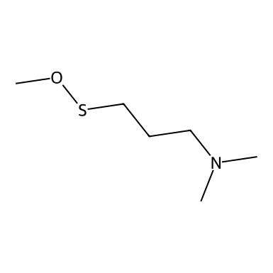 COSCCCN(C)C